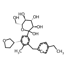 CCc1ccc(Cc2cc(C3(O)O[C@H](CO)[C@@H](O)[C@H](O)[C@H]3O)cc([C@@H]3CCOC3)c2C)cc1